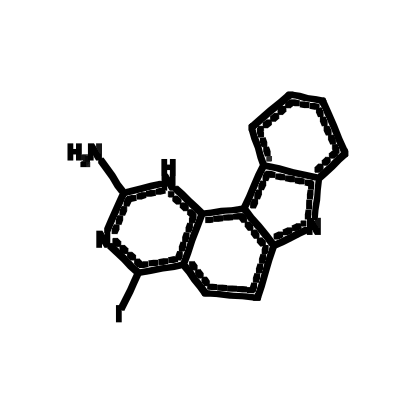 Nc1nc(I)c2ccc3nc4ccccc4c3c2[nH]1